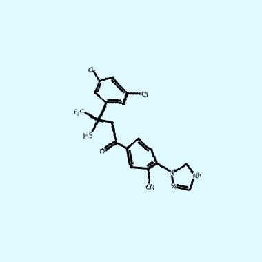 N#Cc1cc(C(=O)CC(S)(c2cc(Cl)cc(Cl)c2)C(F)(F)F)ccc1N1CNC=N1